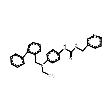 CCN(Cc1ccccc1-c1ccccc1)c1ccc(NC(=O)NCc2cccnc2)cc1